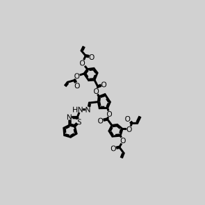 C=CC(=O)Oc1ccc(C(=O)Oc2ccc(OC(=O)c3ccc(OC(=O)C=C)c(OC(=O)C=C)c3)c(/C=N/Nc3nc4ccccc4s3)c2)cc1OC(=O)C=C